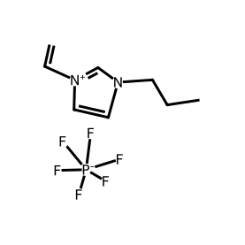 C=C[n+]1ccn(CCC)c1.F[P-](F)(F)(F)(F)F